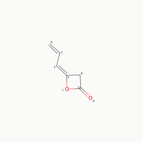 C=CC=C1CC(=O)O1